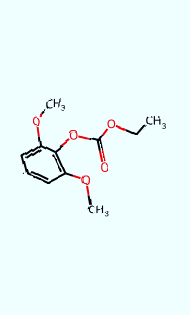 CCOC(=O)Oc1c(OC)c[c]cc1OC